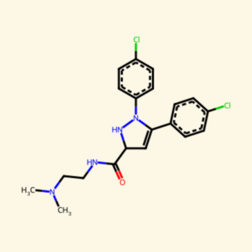 CN(C)CCNC(=O)C1C=C(c2ccc(Cl)cc2)N(c2ccc(Cl)cc2)N1